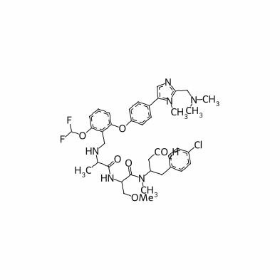 COCC(NC(=O)C(C)NCc1c(Oc2ccc(-c3cnc(CN(C)C)n3C)cc2)cccc1OC(F)F)C(=O)N(C)C(CC(=O)O)Cc1ccc(Cl)cc1